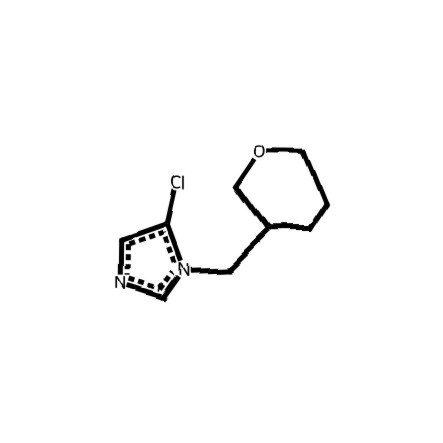 Clc1cncn1CC1CCCOC1